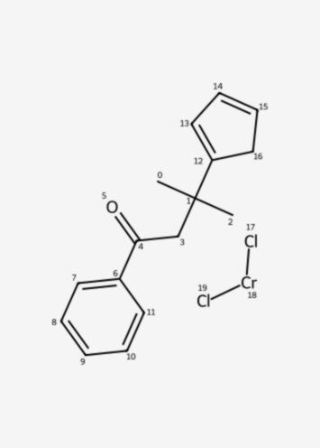 CC(C)(CC(=O)c1ccccc1)C1=CC=CC1.[Cl][Cr][Cl]